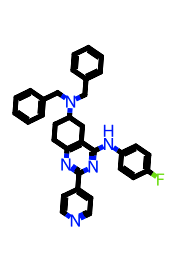 Fc1ccc(Nc2nc(-c3ccncc3)nc3c2CC(N(Cc2ccccc2)Cc2ccccc2)CC3)cc1